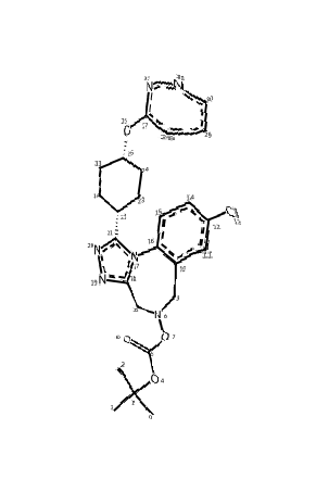 CC(C)(C)OC(=O)ON1Cc2cc(Cl)ccc2-n2c(nnc2[C@H]2CC[C@@H](Oc3cccnn3)CC2)C1